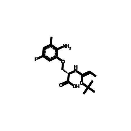 C/C=C(/N[C@@H](COc1cc(F)cc(C)c1N)C(=O)O)OC(C)(C)C